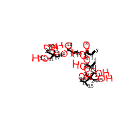 C=CC(=O)O.C=CC(=O)O.C=CC(=O)O.CC(CO)C(CO)(CO)CO.CCC(CO)(CO)CO